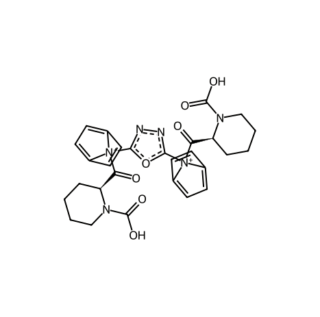 O=C(O)N1CCCC[C@H]1C(=O)[N+]1(c2nnc([N+]3(C(=O)[C@@H]4CCCCN4C(=O)O)C4=CC=C3C=C4)o2)C2=CC=C1C=C2